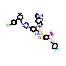 CC1(C)CCC(CN2CCN(c3ccc(C(=O)NS(=O)(=O)c4ccc(OCC5(F)CCC(F)(F)CC5)c([N+](=O)[O-])c4)c(-n4ncc5nc6[nH]ccc6cc54)c3)CC2)=C(c2ccc(Cl)cc2)C1